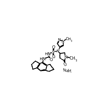 CN1CC(N(c2cnn(C)c2)S(=O)(=O)NC(=O)Nc2c3c(cc4c2CCC4)CCC3)CC1=O.[NaH]